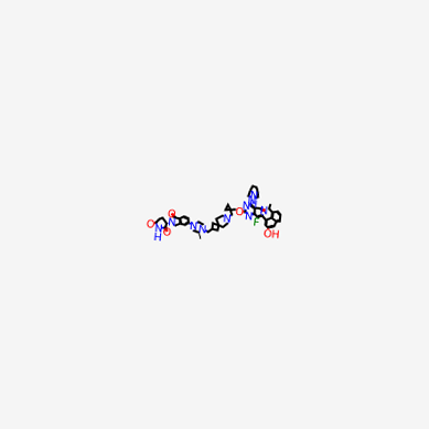 CCc1cccc2cc(O)cc(-c3ncc4c(N5CC6CCC(C5)N6)nc(OCC5(CN6CCC7(CC6)CC(CN6CCN(c8ccc9c(c8)CN([C@H]8CCC(=O)NC8=O)C9=O)C[C@@H]6C)C7)CC5)nc4c3F)c12